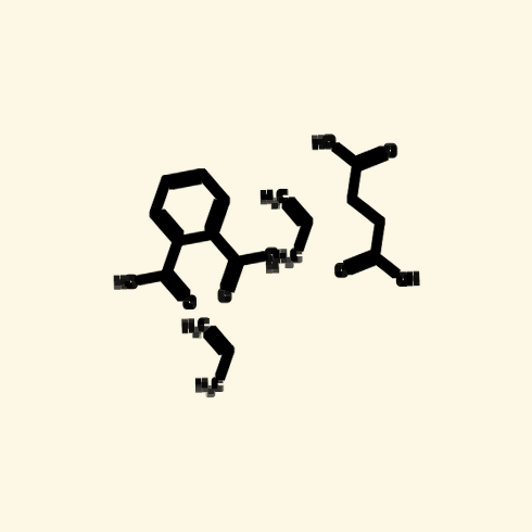 C=CC.C=CC.O=C(O)CCC(=O)O.O=C(O)c1ccccc1C(=O)O